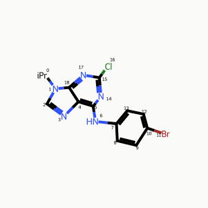 CC(C)n1cnc2c(Nc3ccc(Br)cc3)nc(Cl)nc21